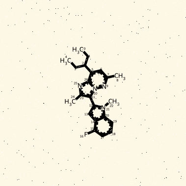 CCC(CC)c1cc(C)nn2c(-c3cc4c(F)cccc4n3C)c(C)nc12